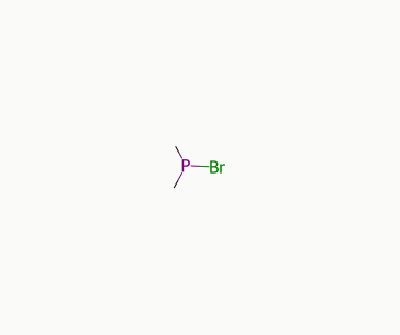 CP(C)Br